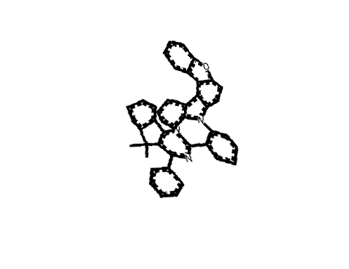 CC1(C)c2ccccc2-c2nc(-c3ccccc3-n3c4ccccc4c4c5c(ccc43)oc3ccccc35)nc(-c3ccccc3)c21